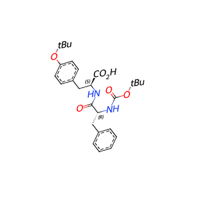 CC(C)(C)OC(=O)N[C@H](Cc1ccccc1)C(=O)N[C@@H](Cc1ccc(OC(C)(C)C)cc1)C(=O)O